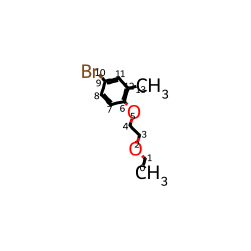 CCOCCOc1ccc(Br)cc1C